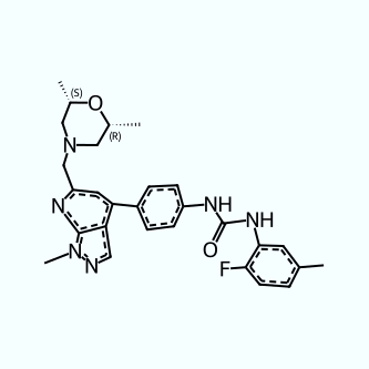 Cc1ccc(F)c(NC(=O)Nc2ccc(-c3cc(CN4C[C@@H](C)O[C@@H](C)C4)nc4c3cnn4C)cc2)c1